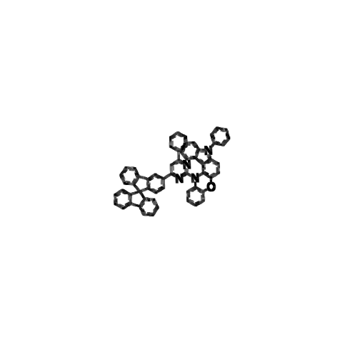 c1ccc(-c2cc(-c3ccc4c(c3)-c3ccccc3C43c4ccccc4-c4ccccc43)nc(N3c4ccccc4Oc4ccc5c(c43)c3ccccc3n5-c3ccccc3)n2)cc1